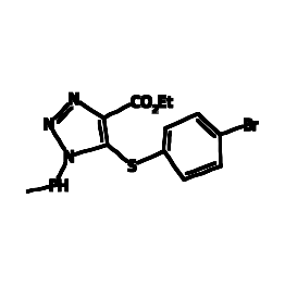 CCOC(=O)c1nnn(PC)c1Sc1ccc(Br)cc1